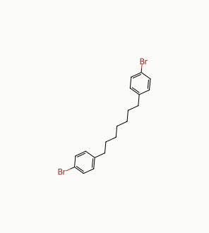 Brc1ccc(CCCCCCCc2ccc(Br)cc2)cc1